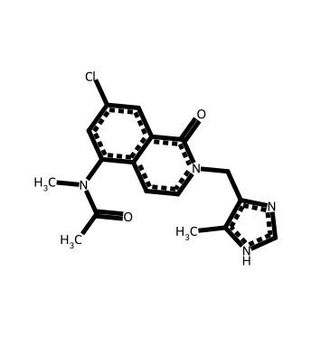 CC(=O)N(C)c1cc(Cl)cc2c(=O)n(Cc3nc[nH]c3C)ccc12